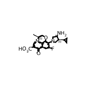 C[C@H]1COc2c(N3C[C@@H](N)[C@@H](C4CC4)C3)c(F)cc3c(=O)c(C(=O)O)cn1c23